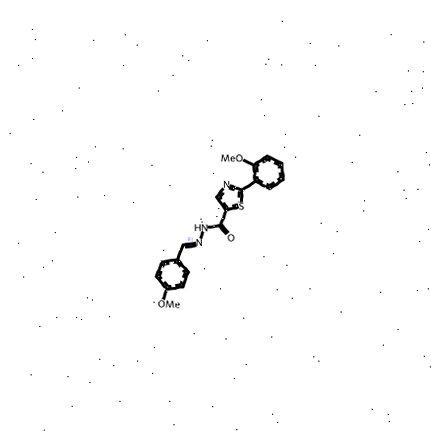 COc1ccc(/C=N/NC(=O)c2cnc(-c3ccccc3OC)s2)cc1